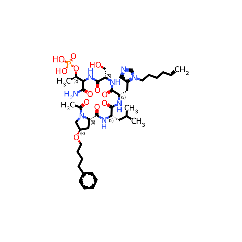 C=CCCCCn1cncc1C[C@H](NC(=O)[C@H](CC(C)C)NC(=O)[C@@H]1C[C@@H](OCCCCc2ccccc2)CN1C(C)=O)C(=O)N[C@@H](CO)C(=O)NC(C(N)=O)[C@@H](C)OP(=O)(O)O